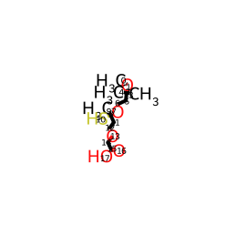 COC(C)(C)CCOC(C)(S)CCOCC(=O)O